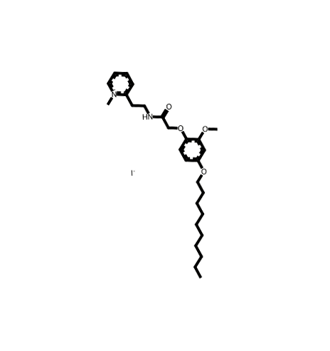 CCCCCCCCCCOc1ccc(OCC(=O)NCCc2cccc[n+]2C)c(OC)c1.[I-]